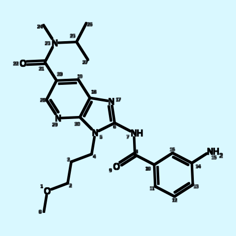 COCCCn1c(NC(=O)c2cccc(N)c2)nc2cc(C(=O)N(C)C(C)C)cnc21